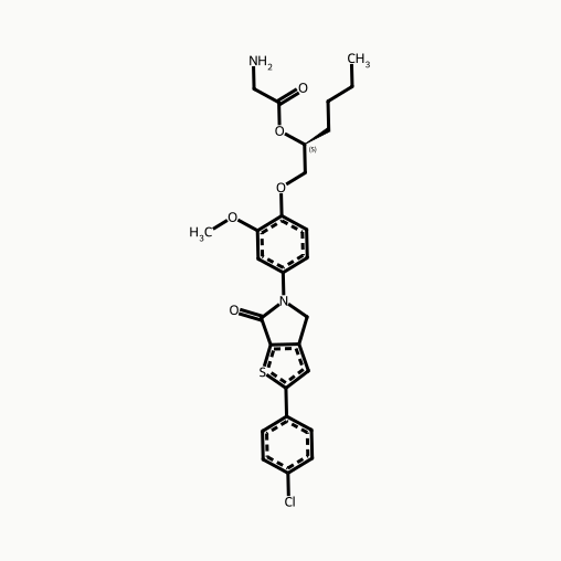 CCCC[C@@H](COc1ccc(N2Cc3cc(-c4ccc(Cl)cc4)sc3C2=O)cc1OC)OC(=O)CN